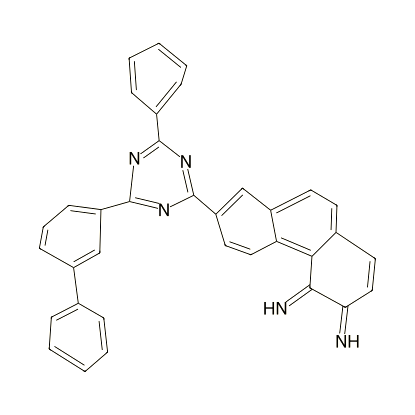 N=C1C=Cc2ccc3cc(-c4nc(-c5ccccc5)nc(-c5cccc(-c6ccccc6)c5)n4)ccc3c2C1=N